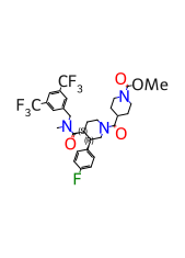 COC(=O)N1CCC(C(=O)N2CC[C@H](C(=O)N(C)Cc3cc(C(F)(F)F)cc(C(F)(F)F)c3)[C@H](c3ccc(F)cc3)C2)CC1